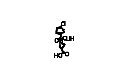 O=C(O)C1CN(S(=O)(=O)c2ccc(Cl)s2)C1.[LiH]